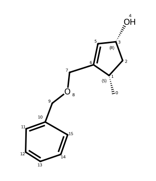 C[C@H]1C[C@@H](O)C=C1COCc1ccccc1